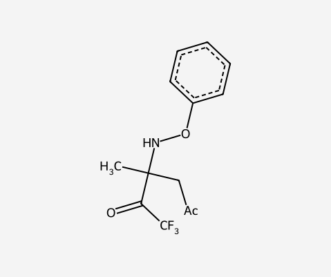 CC(=O)CC(C)(NOc1ccccc1)C(=O)C(F)(F)F